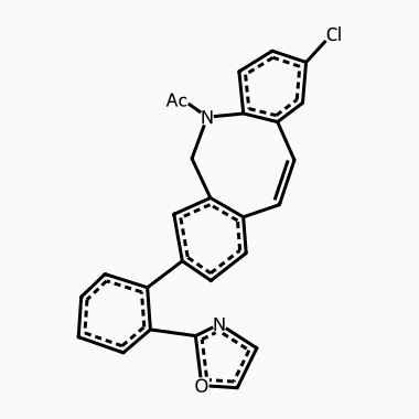 CC(=O)N1Cc2cc(-c3ccccc3-c3ncco3)ccc2C=Cc2cc(Cl)ccc21